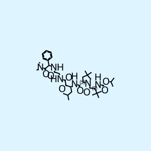 CC(C)CC(NC(=O)[C@@H]1CC(C)(C)CN1C(=O)[C@@H](NC(=O)OC(C)C)C(C)(C)C)C(=O)C(=O)NCC(=O)NC(C(=O)N(C)C)c1ccccc1